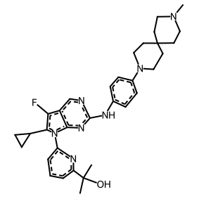 CN1CCC2(CC1)CCN(c1ccc(Nc3ncc4c(F)c(C5CC5)n(-c5cccc(C(C)(C)O)n5)c4n3)cc1)CC2